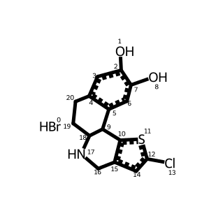 Br.Oc1cc2c(cc1O)C1c3sc(Cl)cc3CNC1CC2